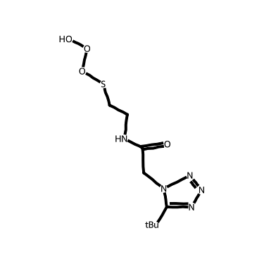 CC(C)(C)c1nnnn1CC(=O)NCCSOOO